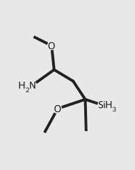 COC(N)CC(C)([SiH3])OC